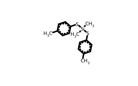 Cc1ccc(S[Si](C)(C)Sc2ccc(C)cc2)cc1